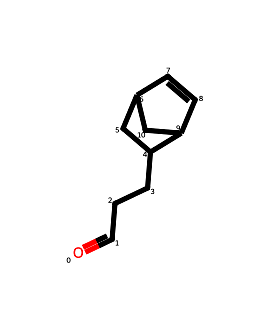 O=CCCC1CC2C=CC1C2